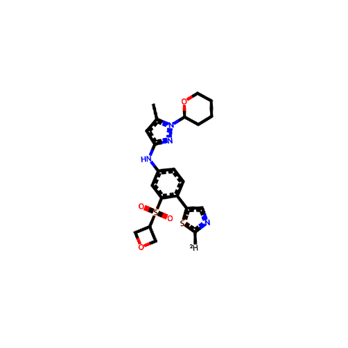 [2H]c1ncc(-c2ccc(Nc3cc(C)n(C4CCCCO4)n3)cc2S(=O)(=O)C2COC2)s1